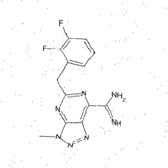 Cn1nnc2c(C(=N)N)nc(Cc3cccc(F)c3F)nc21